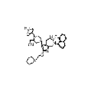 C=CC(=O)N1CCN(c2nc(OCCN3CCCCC3)nc3c2CCCN(c2cccc4cccc(C)c24)C3)CC1CC#N